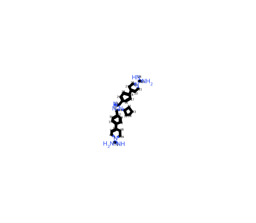 N=C(N)N1CC=C(c2ccc(-c3nnc(-c4ccc(C5=CCN(C(=N)N)CC5)cc4)n3C3CCCC3)cc2)CC1